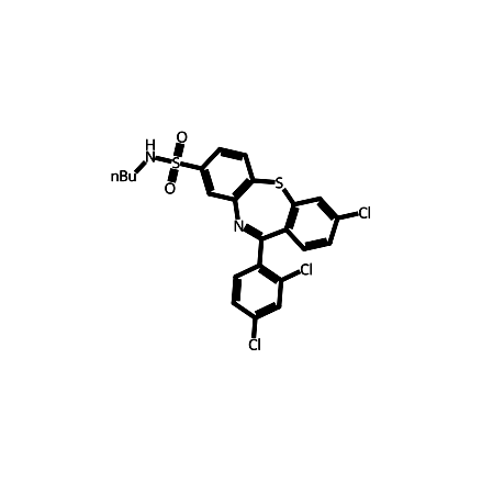 CCCCNS(=O)(=O)c1ccc2c(c1)N=C(c1ccc(Cl)cc1Cl)c1ccc(Cl)cc1S2